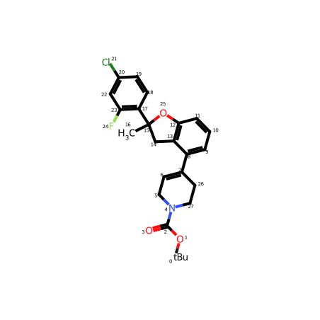 CC(C)(C)OC(=O)N1CC=C(c2cccc3c2CC(C)(c2ccc(Cl)cc2F)O3)CC1